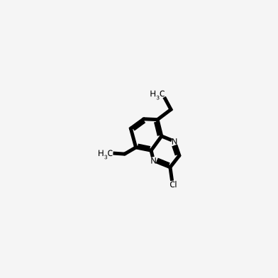 CCc1ccc(CC)c2nc(Cl)cnc12